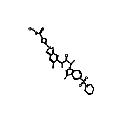 Cc1cc2cn(C3CN(C(=O)OC(C)(C)C)C3)nc2cc1NC(=O)C(C)n1cc(C)c2cc(S(=O)(=O)N3CCCCC3)ccc21